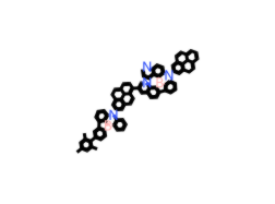 Cc1cc(C)c(-c2ccc3c(c2)-c2cccc4c2B3c2ccccc2N4c2cc3c4c(c2)CC=C2C=CC(c5cnc6c7c(ccc6c5)-c5cccc6c5B7c5c(ccc7ncccc57)N6c5cc6c7c(c5)CC=C5C=CC=C(C=C6)C57)=C(C=C3)C24)c(C)c1